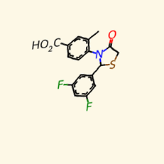 Cc1cc(C(=O)O)ccc1N1C(=O)CSC1c1cc(F)cc(F)c1